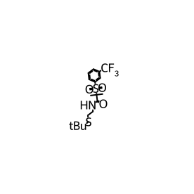 CC(C)(C)SCCNC(=O)C(C)(C)S(=O)(=O)c1cccc(C(F)(F)F)c1